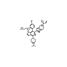 C=CC(=O)N1CCn2nc(-c3nc(C4CCN(C(C)C)CC4)c4ccsc4c3-c3ccc(F)cc3OCCOC)cc2C1